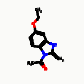 C=C1Nc2cc(OCC)ccc2N1C(C)=O